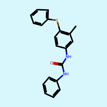 Cc1cc(NC(=O)Nc2ccccc2)ccc1Sc1ccccc1